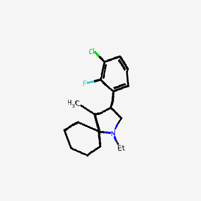 CCN1CC(c2cccc(Cl)c2F)C(C)C12CCCCC2